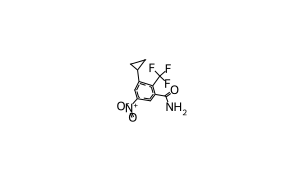 NC(=O)c1cc([N+](=O)[O-])cc(C2CC2)c1C(F)(F)F